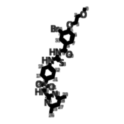 COCCOc1ccc(C(=O)NC(=S)Nc2ccc(S(=O)(=O)Nc3nc(C)cc(C)n3)cc2)cc1Br